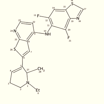 CCN1CCC=C(c2cc3c(Nc4c(F)cc5scnc5c4F)ccnc3s2)C1C